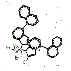 CCC1=Cc2c(-c3cccc4ccccc34)cccc2[CH]1[Zr]([Cl])([Cl])([CH]1C(C)=Cc2c(-c3cccc4ccccc34)cccc21)[SiH](CC)CC